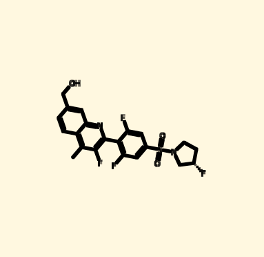 Cc1c(F)c(-c2c(F)cc(S(=O)(=O)N3CC[C@H](F)C3)cc2F)nc2cc(CO)ccc12